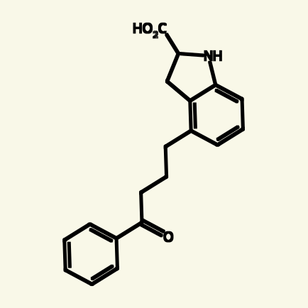 O=C(CCCc1cccc2c1CC(C(=O)O)N2)c1ccccc1